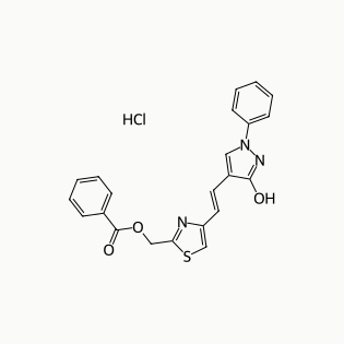 Cl.O=C(OCc1nc(/C=C/c2cn(-c3ccccc3)nc2O)cs1)c1ccccc1